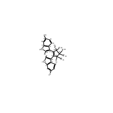 Cc1oc2cc(I)ccc2c1C1=C(c2c(C)oc3cc(I)ccc23)C(F)(F)C(F)(F)C1(F)F